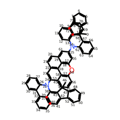 CC1(C)c2ccccc2-c2cccc(N(c3cc4c5c(ccc6cc(N(c7ccccc7-c7ccccc7)c7cccc8c7C(C)(C)c7ccccc7-8)c7cccc(c7c65)O4)c3)c3ccccc3-c3ccccc3)c21